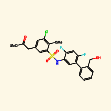 COC(=O)Cc1cc(Cl)c(OC)c(S(=O)(=O)Nc2cc(-c3ccccc3CO)c(F)cc2F)c1